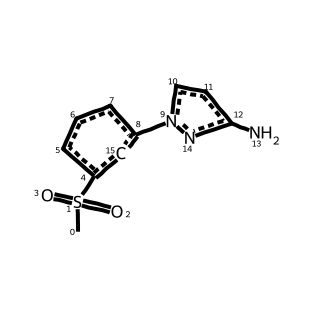 CS(=O)(=O)c1cccc(-n2ccc(N)n2)c1